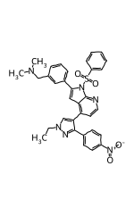 CCn1cc(-c2ccnc3c2cc(-c2cccc(CN(C)C)c2)n3S(=O)(=O)c2ccccc2)c(-c2ccc([N+](=O)[O-])cc2)n1